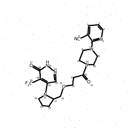 N#Cc1cccnc1N1CCN(C(=O)CCOCC2CCCN2c2cn[nH]c(=O)c2C(F)(F)F)CC1